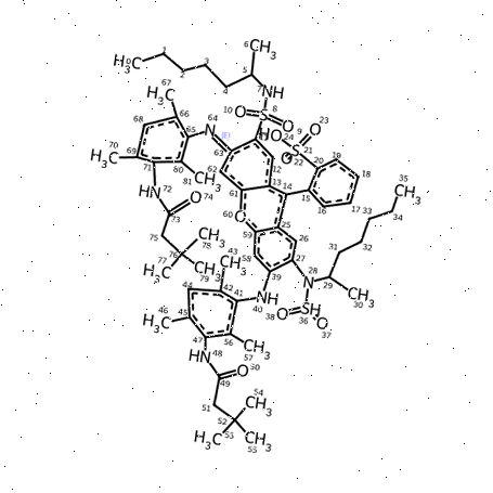 CCCCCC(C)NS(=O)(=O)c1cc2c(-c3ccccc3S(=O)(=O)O)c3cc(N(C(C)CCCCC)[SH](=O)=O)c(Nc4c(C)cc(C)c(NC(=O)CC(C)(C)C)c4C)cc3oc-2c/c1=N\c1c(C)cc(C)c(NC(=O)CC(C)(C)C)c1C